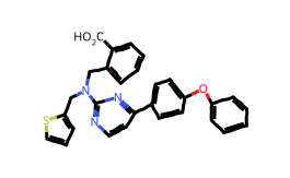 O=C(O)c1ccccc1CN(Cc1cccs1)c1nccc(-c2ccc(Oc3ccccc3)cc2)n1